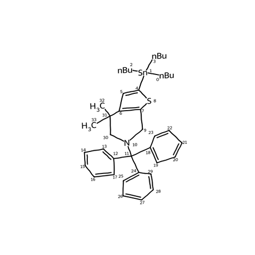 CCC[CH2][Sn]([CH2]CCC)([CH2]CCC)[c]1cc2c(s1)CN(C(c1ccccc1)(c1ccccc1)c1ccccc1)CC2(C)C